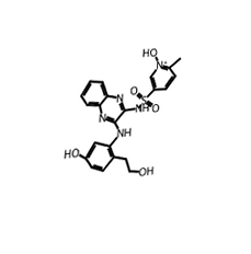 Cc1ccc(S(=O)(=O)Nc2nc3ccccc3nc2Nc2cc(O)ccc2CCO)c[n+]1O